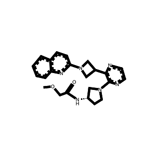 COCC(=O)N[C@H]1CCN(c2nccnc2C2CN(c3ccc4ccccc4n3)C2)C1